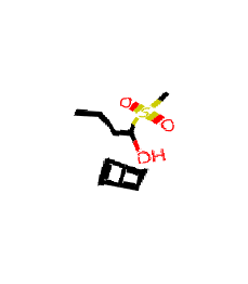 CCCC(O)S(C)(=O)=O.c1cc2ccc1-2